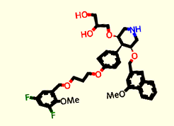 COc1c(F)cc(F)cc1COCCCOc1ccc([C@@H]2[C@@H](OCc3cc(OC)c4ccccc4c3)CNC[C@H]2OCC(O)CO)cc1